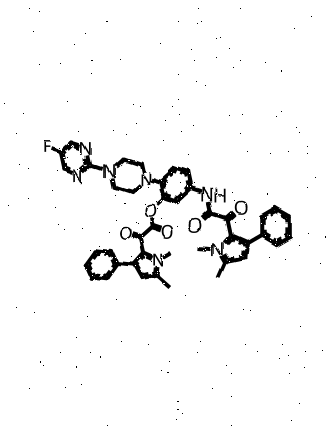 Cc1cc(-c2ccccc2)c(C(=O)C(=O)Nc2ccc(N3CCN(c4ncc(F)cn4)CC3)c(OC(=O)C(=O)c3c(-c4ccccc4)cc(C)n3C)c2)n1C